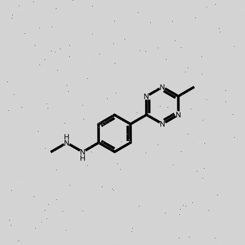 CNNc1ccc(-c2nnc(C)nn2)cc1